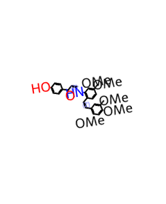 COc1cc(/C=C\c2ccc(OC)c(OC)c2N/C=C\C(=O)c2ccc(O)cc2)cc(OC)c1OC